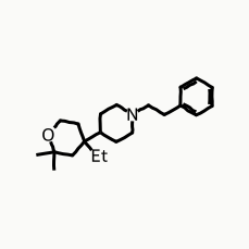 CCC1(C2CCN(CCc3ccccc3)CC2)CCOC(C)(C)C1